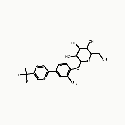 Cc1cc(-c2cnc(C(F)(F)F)cn2)ccc1OC1OC(CO)C(O)C(O)C1O